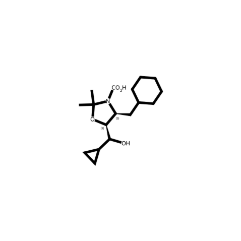 CC1(C)O[C@H](C(O)C2CC2)[C@H](CC2CCCCC2)N1C(=O)O